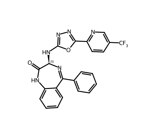 O=C1Nc2ccccc2C(c2ccccc2)=N[C@@H]1Nc1nnc(-c2ccc(C(F)(F)F)cn2)o1